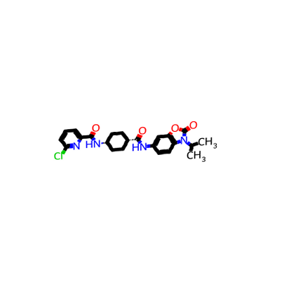 CC(C)n1c(=O)oc2cc(NC(=O)[C@H]3CC[C@@H](NC(=O)c4cccc(Cl)n4)CC3)ccc21